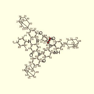 Cc1cc(C)c(N2c3cc4c(cc3B3c5ccccc5Oc5cc(C67CC8CC(CC(C8)C6)C7)cc2c53)B2c3cc5c(cc3Oc3cc(C67CC8CC(CC(C8)C6)C7)cc(c32)O4)Nc2cc(C34CC6CC(CC(C6)C3)C4)cc3c2B5c2ccccc2O3)c(C)c1